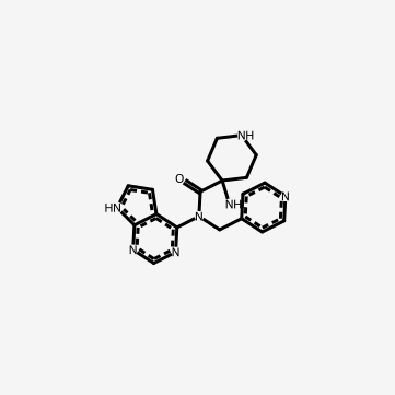 NC1(C(=O)N(Cc2ccncc2)c2ncnc3[nH]ccc23)CCNCC1